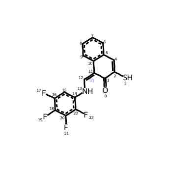 O=C1C(S)=Cc2ccccc2/C1=C/Nc1cc(F)c(F)c(F)c1F